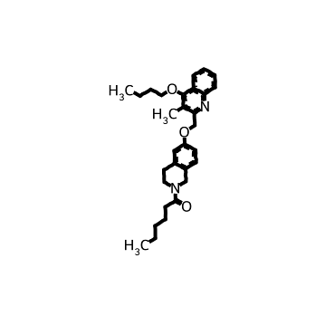 CCCCCC(=O)N1CCc2cc(OCc3nc4ccccc4c(OCCCC)c3C)ccc2C1